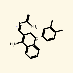 C=C(N)/N=C\C1=C(N)c2ccccc2[C@@H](c2ccc(C)c(C)c2)C1